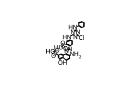 Nc1ccc2c(O)cc(S(=O)(=O)O)cc2c1N=Nc1ccc(Nc2nc(Cl)nc(Nc3ccccc3)n2)cc1S(=O)(=O)O